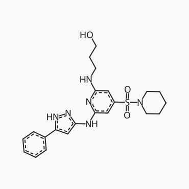 O=S(=O)(c1cc(NCCCO)nc(Nc2cc(-c3ccccc3)[nH]n2)c1)N1CCCCC1